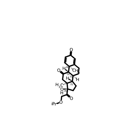 CC(C)OCC(=O)[C@@]1(O)CC[C@H]2[C@@H]3CCC4=CC(=O)C=C[C@]4(C)[C@H]3C(=O)C[C@@]21C